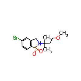 COCCC(C)(C)N1Cc2cc(Br)ccc2S1(=O)=O